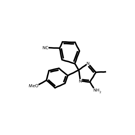 COc1ccc(C2(c3cccc(C#N)c3)N=C(C)C(N)=N2)cc1